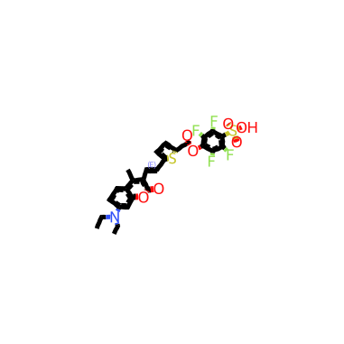 CCN(CC)c1ccc2c(C)c(/C=C/c3ccc(C(=O)Oc4c(F)c(F)c(S(=O)(=O)O)c(F)c4F)s3)c(=O)oc2c1